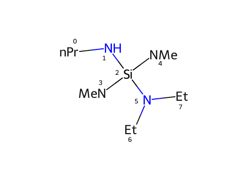 CCCN[Si](NC)(NC)N(CC)CC